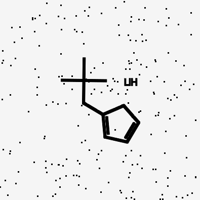 CC(C)(C)CC1=CC=CC1.[LiH]